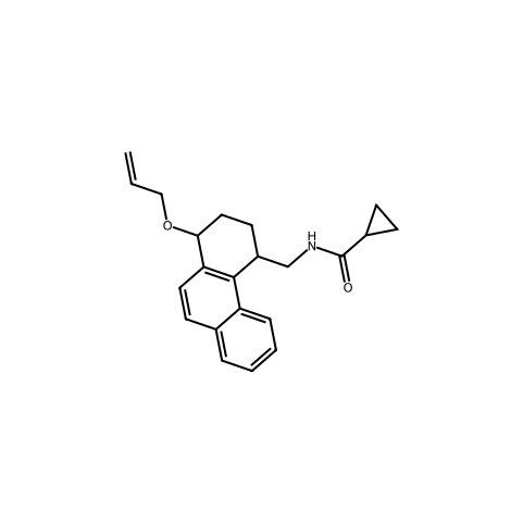 C=CCOC1CCC(CNC(=O)C2CC2)c2c1ccc1ccccc21